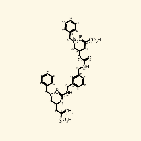 C=C(CC(COCc1ccccc1)OC(=O)NCc1cccc(CNC(=O)OC(COCc2ccccc2)CC(=C)C(=O)O)c1)C(=O)O